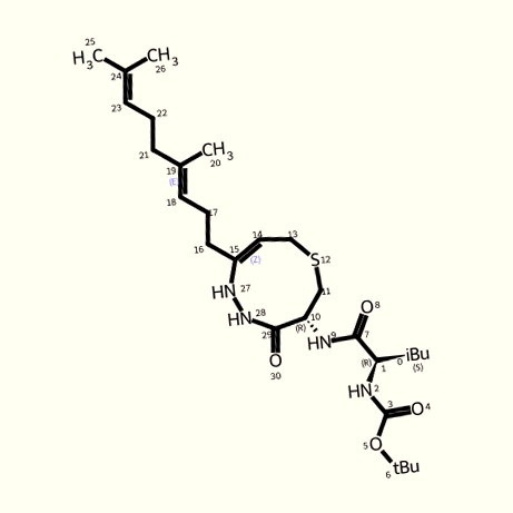 CC[C@H](C)[C@@H](NC(=O)OC(C)(C)C)C(=O)N[C@H]1CSC/C=C(/CC/C=C(\C)CCC=C(C)C)NNC1=O